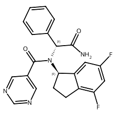 NC(=O)[C@@H](c1ccccc1)N(C(=O)c1cncnc1)[C@@H]1CCc2c(F)cc(F)cc21